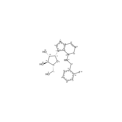 OC[C@H]1O[C@@H](n2cnc3c2N(NCc2ccccc2F)CN=C3)[C@@H](O)[C@@H]1O